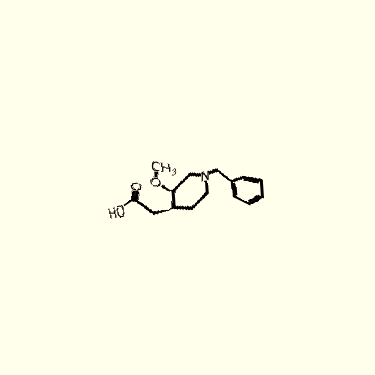 CO[C@H]1CN(Cc2ccccc2)CC[C@H]1CC(=O)O